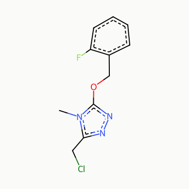 Cn1c(CCl)nnc1OCc1ccccc1F